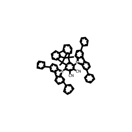 CC1(C)c2c(-n3c4ccc(-c5ccccc5)cc4c4ccc(-c5ccccc5)cc43)c(C#N)c(C#N)c(-n3c4ccc(-c5ccccc5)cc4c4ccc(-c5ccccc5)cc43)c2C(C)(C)C12c1ccccc1-c1ccccc12